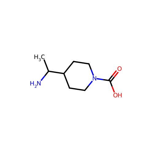 CC(N)C1CCN(C(=O)O)CC1